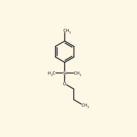 CCCO[Si](C)(C)c1ccc(C)cc1